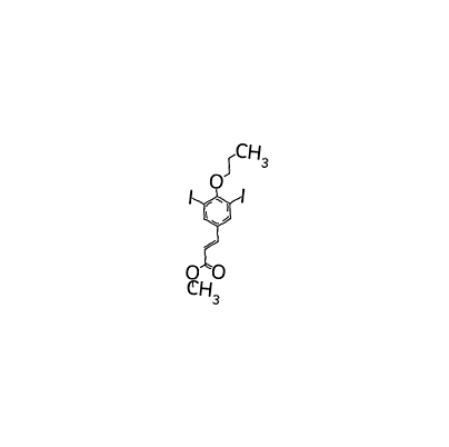 CCCOc1c(I)cc(/C=C/C(=O)OC)cc1I